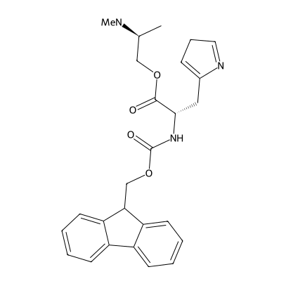 CN[C@@H](C)COC(=O)[C@H](CC1=CCC=N1)NC(=O)OCC1c2ccccc2-c2ccccc21